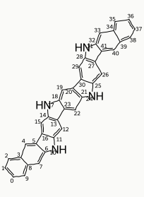 c1ccc2cc3c(cc2c1)[nH]c1cc2c(cc13)[nH]c1cc3c(cc12)[nH]c1cc2c(cc13)[nH]c1cc3ccccc3cc12